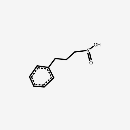 O=S(O)CCCc1ccccc1